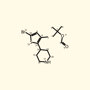 CC(C)(C)OC=O.Cc1cc(Br)sc1C1CCNCC1